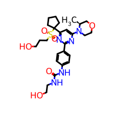 C[C@H]1COCCN1c1cc(C2(S(=O)(=O)CCCO)CCCC2)nc(-c2ccc(NC(=O)NCCO)cc2)n1